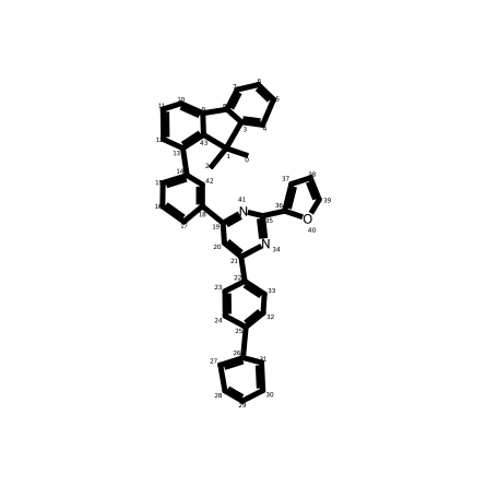 CC1(C)c2ccccc2-c2cccc(-c3cccc(-c4cc(-c5ccc(-c6ccccc6)cc5)nc(-c5ccco5)n4)c3)c21